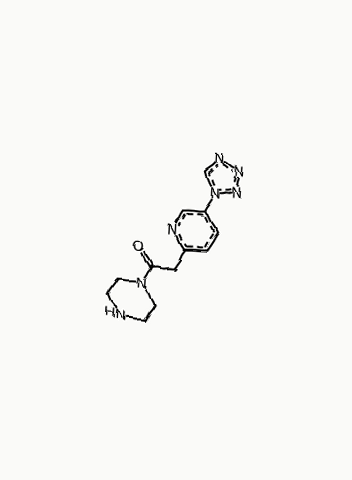 O=C(Cc1ccc(-n2cnnn2)cn1)N1CCNCC1